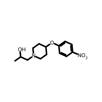 CC(O)CN1CCC(Oc2ccc([N+](=O)[O-])cc2)CC1